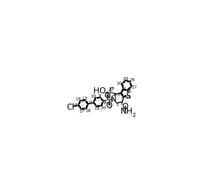 NOC1CN(S(=O)(=O)c2ccc(-c3ccc(Cl)cc3)cc2)C(C(=O)O)c2c1sc1ccccc21